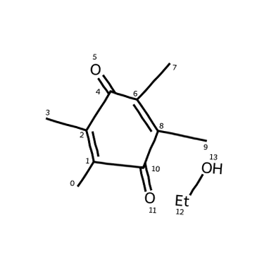 CC1=C(C)C(=O)C(C)=C(C)C1=O.CCO